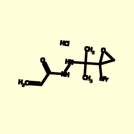 C=CC(=O)NNC(C)(C)C1(CCC)CO1.Cl